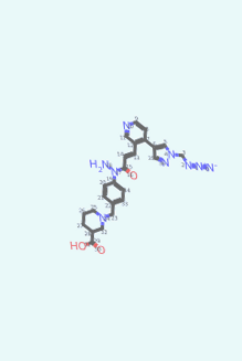 [N-]=[N+]=NCn1cc(-c2ccncc2/C=C/C(=O)N(N)c2ccc(CN3CCCC(C(=O)O)C3)cc2)cn1